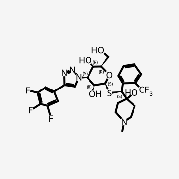 CN1CCC(O)([C@@H](S[C@@H]2O[C@H](CO)[C@H](O)[C@H](n3cc(-c4cc(F)c(F)c(F)c4)nn3)[C@H]2O)c2ccccc2C(F)(F)F)CC1